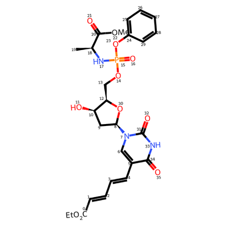 CCOC(=O)/C=C/C=C/c1cn([C@H]2C[C@@H](O)[C@@H](COP(=O)(N[C@@H](C)C(=O)OC)Oc3ccccc3)O2)c(=O)[nH]c1=O